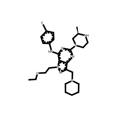 CCOCCn1nc(CN2CCCCC2)c2nc(N3CCN[C@H](C)C3)nc(Nc3ccc(F)cc3)c21